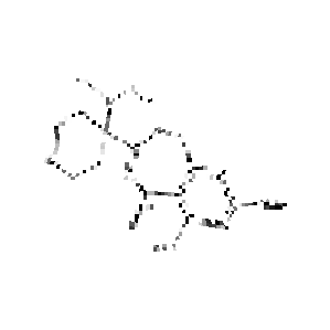 CCN1OCN2Cc3cc(OC)cc(OC)c3[C@@H](C)C=C2C12CCNCC2